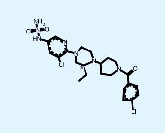 CC[C@H]1CN(c2ncc(NS(N)(=O)=O)cc2Cl)CCN1C1CCN(C(=O)c2ccc(Cl)cc2)CC1